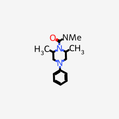 CNC(=O)N1C(C)CN(c2ccccc2)CC1C